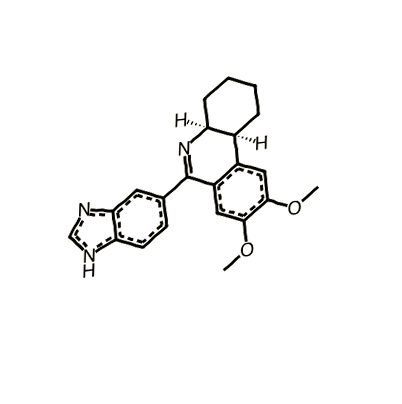 COc1cc2c(cc1OC)[C@@H]1CCCC[C@@H]1N=C2c1ccc2[nH]cnc2c1